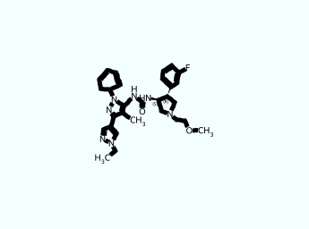 CCn1cc(-c2nn(C3C=CC=CC3)c(NC(=O)N[C@@H]3CN(CCOC)C[C@H]3c3cccc(F)c3)c2C)cn1